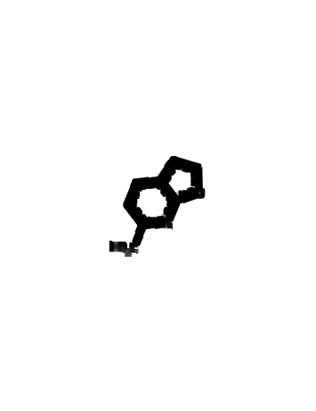 O=C(O)c1ccc2ccoc2n1